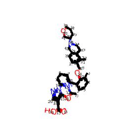 Cc1cccc(-c2cccc3[n+]2C(C)Oc2c(C(=O)O)cnn2-3)c1OCc1ccc2c(c1C)CCN(C1CCCOC1)C2